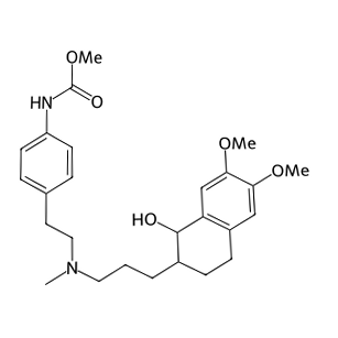 COC(=O)Nc1ccc(CCN(C)CCCC2CCc3cc(OC)c(OC)cc3C2O)cc1